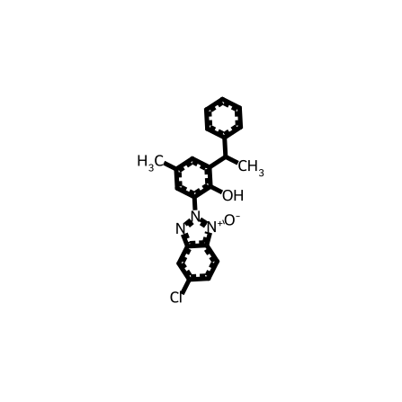 Cc1cc(C(C)c2ccccc2)c(O)c(-n2nc3cc(Cl)ccc3[n+]2[O-])c1